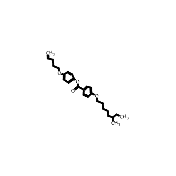 C=CCCCOc1ccc(OC(=O)c2ccc(OCCCCCC(C)CC)cc2)cc1